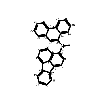 CN(c1ccc2c3c(cccc13)-c1ccccc1-2)c1cc2ccccc2c2ccccc12